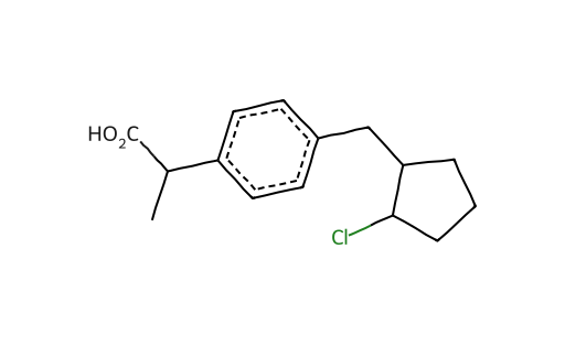 CC(C(=O)O)c1ccc(CC2CCCC2Cl)cc1